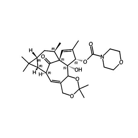 CC1=C[C@]23C(=O)[C@@H](C=C4COC(C)(C)OC4[C@]2(O)[C@H]1OC(=O)N1CCOCC1)[C@H]1[C@@H](C[C@H]3C)C1(C)C